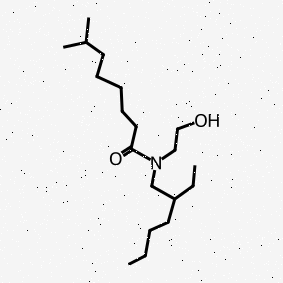 CCCCC(CC)CN(CCO)C(=O)CCCCCC(C)C